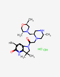 CCCCc1cc2c([nH]c1=O)C(C)(C)CN2C(=O)CN1C[C@@H](C)NC[C@@H]1CN1C[C@H](C)OC[C@H]1C.Cl.Cl